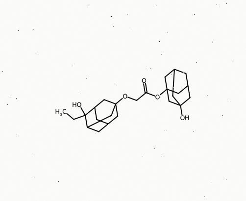 CCC1(O)C2CC3CC1CC(OCC(=O)OC14CC5CC(CC(O)(C5)C1)C4)(C3)C2